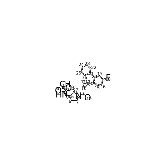 CS(=O)(=O)N[C@@H]1CCN(C(=O)[C@@H]2C[C@H]2c2ccc(F)cc2-c2ccccc2)C1